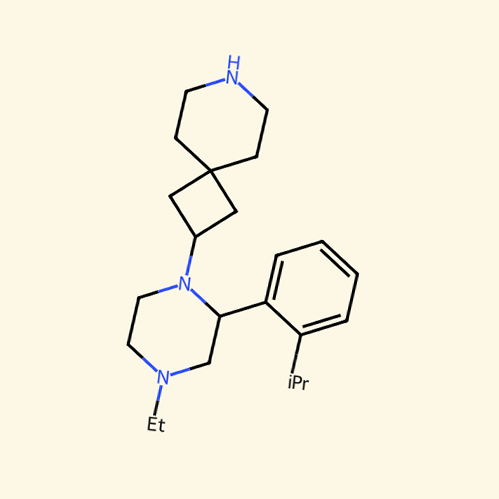 CCN1CCN(C2CC3(CCNCC3)C2)C(c2ccccc2C(C)C)C1